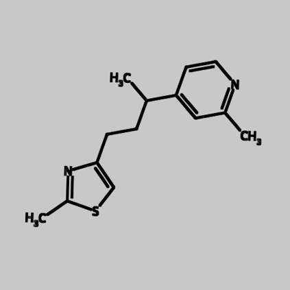 Cc1cc(C(C)CCc2csc(C)n2)ccn1